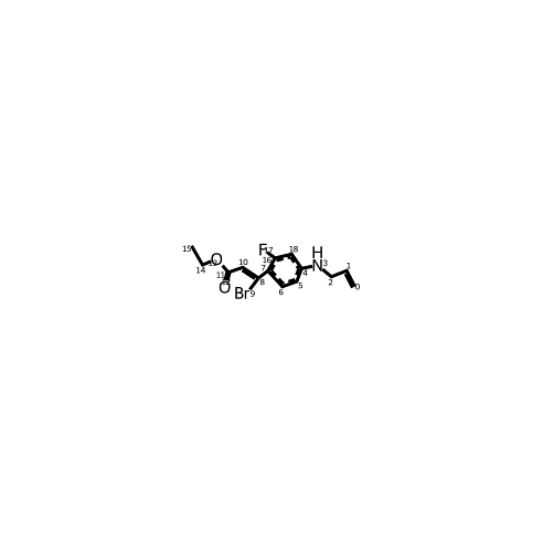 C=CCNc1ccc(C(Br)=CC(=O)OCC)c(F)c1